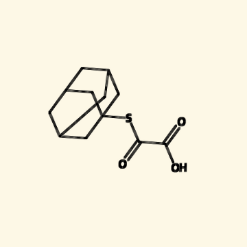 O=C(O)C(=O)SC12CC3CC(CC(C3)C1)C2